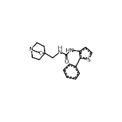 O=C(NCC12CCN(CC1)CC2)Nc1ccsc1-c1ccccc1